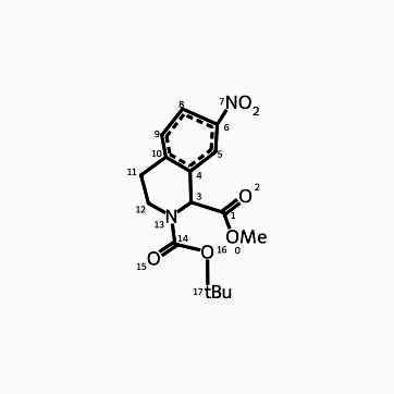 COC(=O)C1c2cc([N+](=O)[O-])ccc2CCN1C(=O)OC(C)(C)C